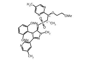 COCCO[C@H](c1ncc(C)cn1)[C@H](C)S(=O)(=O)N=c1n(C)nc(-c2cncc(C)c2)n1-c1c(OC)cccc1OC